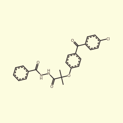 CC(C)(Oc1ccc(C(=O)c2ccc(Cl)cc2)cc1)C(=O)NNC(=O)c1ccccc1